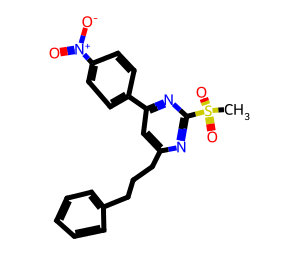 CS(=O)(=O)c1nc(CCCc2ccccc2)cc(-c2ccc([N+](=O)[O-])cc2)n1